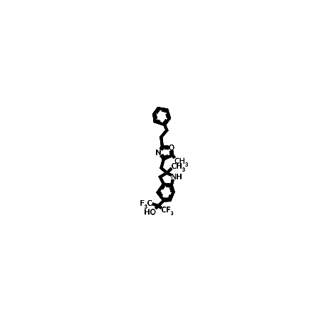 Cc1oc(CCc2ccccc2)nc1CC1(C)Cc2cc(C(O)(C(F)(F)F)C(F)(F)F)ccc2N1